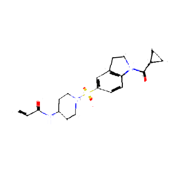 C=CC(=O)NC1CCN(S(=O)(=O)c2ccc3c(c2)CCN3C(=O)C2CC2)CC1